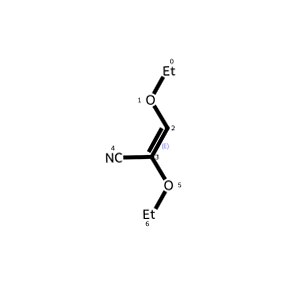 CCO/C=C(\C#N)OCC